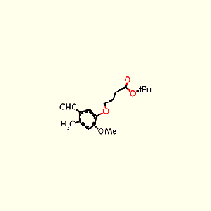 COc1cc(C)c(C=O)cc1OCCCC(=O)OC(C)(C)C